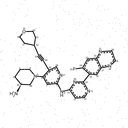 N[C@H]1CCCN(c2cc(Nc3ccnc(-c4cc5nccnc5cc4F)n3)ncc2C#CC2CCOCC2)C1